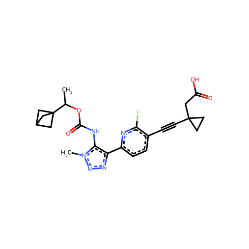 CC(OC(=O)Nc1c(-c2ccc(C#CC3(CC(=O)O)CC3)c(F)n2)nnn1C)C12CC(C1)C2